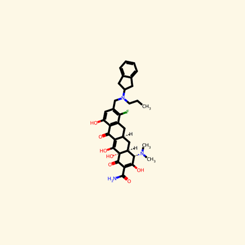 CCCN(Cc1cc(O)c2c(c1F)C[C@H]1C[C@H]3[C@H](N(C)C)C(O)=C(C(N)=O)C(=O)[C@@]3(O)C(O)=C1C2=O)C1Cc2ccccc2C1